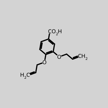 C=CCOc1ccc(C(=O)O)cc1OCC=C